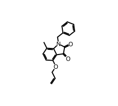 C=CCOc1ccc(C)c2c1C(=O)C(=O)N2Cc1ccccc1